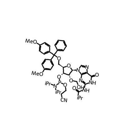 COc1ccc(C(OC[C@H]2O[C@@H](n3cnc4c(=O)[nH]c(NC(=O)C(C)C)nc43)[C@H](OCO)[C@@H]2OP(OCCC#N)N(C(C)C)C(C)C)(c2ccccc2)c2ccc(OC)cc2)cc1